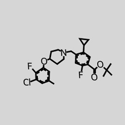 Cc1cc(Cl)c(F)c(OC2CCN(Cc3cc(F)c(C(=O)OC(C)(C)C)cc3C3CC3)CC2)c1